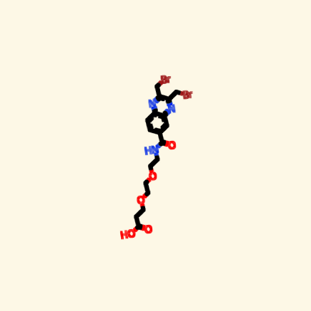 O=C(O)CCOCCOCCNC(=O)c1ccc2nc(CBr)c(CBr)nc2c1